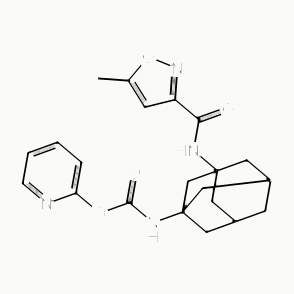 Cc1cc(C(=O)NC23CC4CC(CC(NC(=O)Oc5ccccn5)(C4)C2)C3)no1